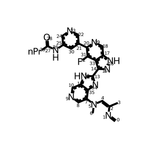 C=N/C(C)=C\N(C)c1cncc2[nH]c(-c3n[nH]c4cnc(-c5cncc(NC(=O)CCC)c5)c(F)c34)nc12